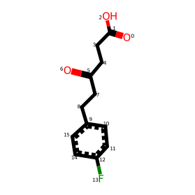 O=C(O)CCC(=O)CCc1ccc(F)cc1